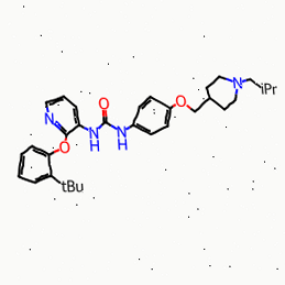 CC(C)CN1CCC(COc2ccc(NC(=O)Nc3cccnc3Oc3ccccc3C(C)(C)C)cc2)CC1